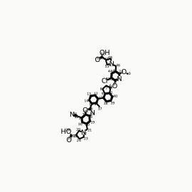 COc1nc(O[C@H]2CCc3c(-c4cccc(-c5nc6cc(CN7CC[C@H](C(=O)O)C7)cc(C#N)c6o5)c4C)cccc32)c(Cl)cc1CN1CC(C(=O)O)C1